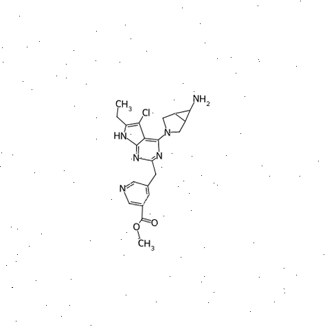 CCc1[nH]c2nc(Cc3cncc(C(=O)OC)c3)nc(N3CC4C(N)C4C3)c2c1Cl